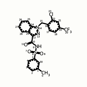 Cc1cccc(S(=O)(=O)NC(=O)c2nn(Cc3ccc(C(F)(F)F)cc3Cl)c3ccccc23)c1